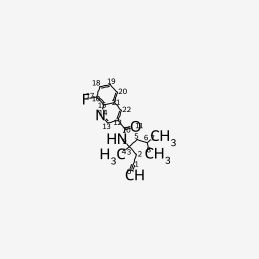 C#CCC(C)(CC(C)C)NC(=O)c1cnc2c(F)cccc2c1